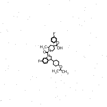 CC(C)OC1CCC(C2CN(C(=O)N3CC[C@@](C(=O)O)(c4ccc(F)cc4)C[C@@H]3C)c3cc(F)ccc32)CC1